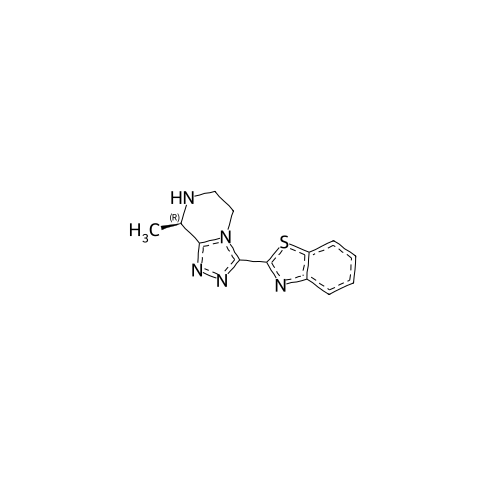 C[C@H]1NCCn2c(-c3nc4ccccc4s3)nnc21